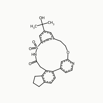 CC(C)(O)c1cc2cc(c1)S(=O)(=O)NC(=O)Cc1c(ccc3c1CCC3)-c1ccnc(c1)OCC2